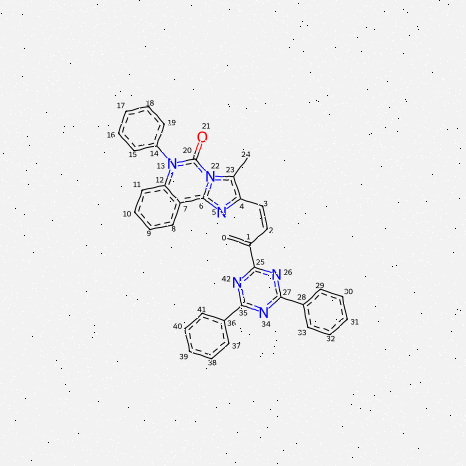 C=C(/C=C\c1nc2c3ccccc3n(-c3ccccc3)c(=O)n2c1C)c1nc(-c2ccccc2)nc(-c2ccccc2)n1